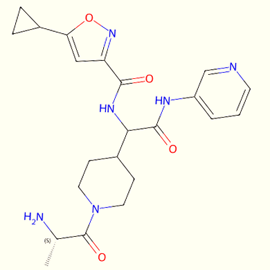 C[C@H](N)C(=O)N1CCC(C(NC(=O)c2cc(C3CC3)on2)C(=O)Nc2cccnc2)CC1